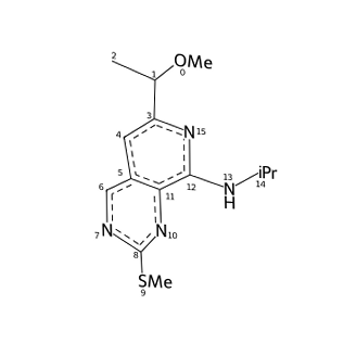 COC(C)c1cc2cnc(SC)nc2c(NC(C)C)n1